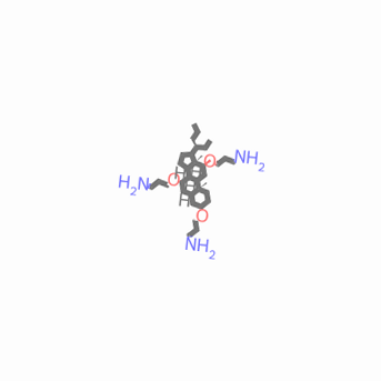 CCC[C@@H](CC)C1CC[C@H]2[C@@H]3[C@H](OCCCN)C[C@@H]4C[C@H](OCCCN)CC[C@]4(C)[C@H]3C[C@H](OCCCN)[C@]12C